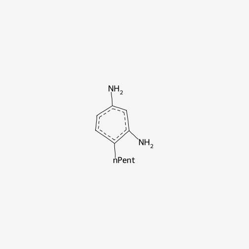 [CH2]CCCCc1ccc(N)cc1N